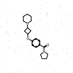 O=C(c1ccc(OC2CC(N3CCCCC3)C2)cc1)N1CCCC1